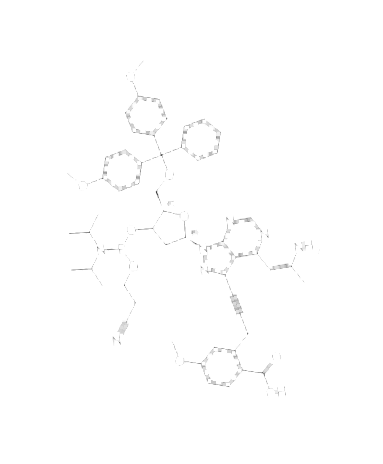 COc1ccc(C(OC[C@H]2O[C@@H](n3nc(C#CCc4cc(OC)ccc4C(=O)O)c4c(C=C(C)N)ncnc43)CC2OP(OCCC#N)N(C(C)C)C(C)C)(c2ccccc2)c2ccc(OC)cc2)cc1